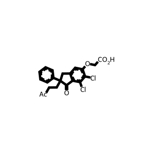 CC(=O)CCC1(c2ccccc2)Cc2cc(OCC(=O)O)c(Cl)c(Cl)c2C1=O